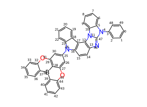 c1ccc(-n2c3ccccc3n3c4c(ccc5c4c4ccccc4n5-c4cc5c6c(c4)Oc4ccccc4B6c4ccccc4O5)nc23)cc1